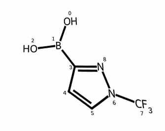 OB(O)c1ccn(C(F)(F)F)n1